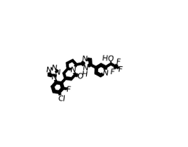 O=C1C=C(c2c(-n3cnnn3)ccc(Cl)c2F)CC2CCC(c3ncc(-c4ccnc([C@@H](O)C(F)(F)F)c4)[nH]3)N12